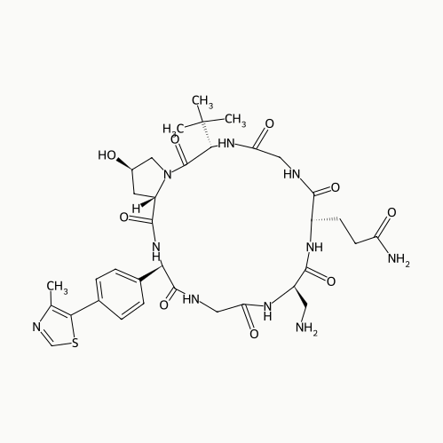 Cc1ncsc1-c1ccc([C@H]2NC(=O)[C@@H]3C[C@@H](O)CN3C(=O)[C@H](C(C)(C)C)NC(=O)CNC(=O)[C@H](CCC(N)=O)NC(=O)[C@@H](CN)NC(=O)CNC2=O)cc1